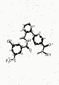 CCN(C)C(=O)c1ccc(-c2nccnc2C(C)NC(=O)c2cc(Cl)cc(OC(F)(F)F)c2)nc1